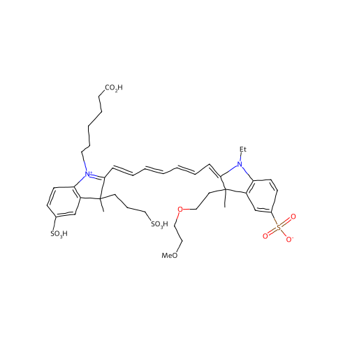 CCN1/C(=C/C=C/C=C/C=C/C2=[N+](CCCCCC(=O)O)c3ccc(S(=O)(=O)O)cc3C2(C)CCCS(=O)(=O)O)C(C)(CCOCCOC)c2cc(S(=O)(=O)[O-])ccc21